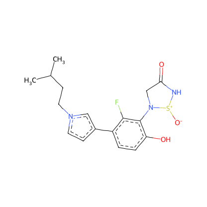 CC(C)CCn1ccc(-c2ccc(O)c(N3CC(=O)N[S+]3[O-])c2F)c1